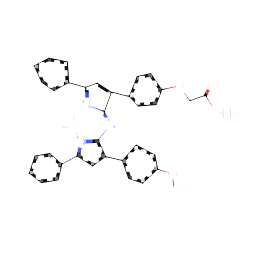 COc1ccc(-c2cc(-c3ccccc3)n(B(F)F)c2N=C2N=C(c3ccccc3)C=C2c2ccc(OCC(=O)O)cc2)cc1